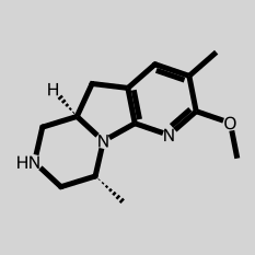 COc1nc2c(cc1C)C[C@@H]1CNC[C@@H](C)N21